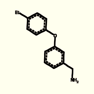 CCc1ccc(Oc2cccc(CN)c2)cc1